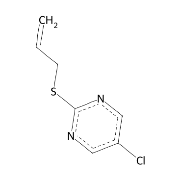 C=CCSc1ncc(Cl)cn1